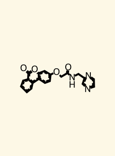 O=C(COc1ccc2c(c1)oc(=O)c1ccccc12)NCc1cnccn1